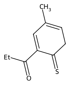 CCC(=O)C1=CC(C)=CCC1=S